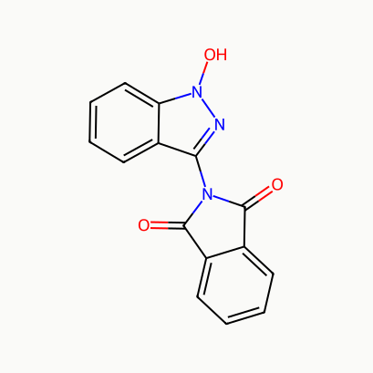 O=C1c2ccccc2C(=O)N1c1nn(O)c2ccccc12